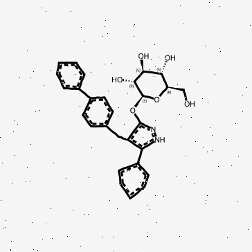 OC[C@H]1O[C@@H](Oc2n[nH]c(-c3ccccc3)c2Cc2ccc(-c3ccccc3)cc2)[C@H](O)[C@@H](O)[C@@H]1O